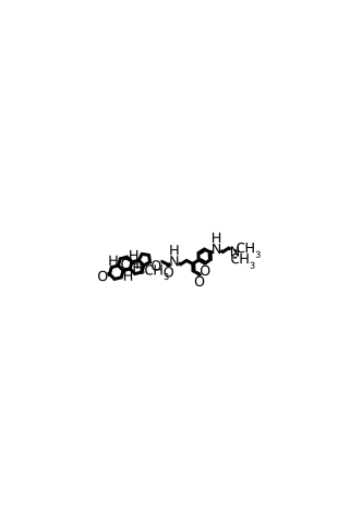 CN(C)CCNc1ccc2c(CCNC(=O)CO[C@H]3CC[C@H]4[C@@H]5CC[C@H]6CC(=O)CC[C@]6(C)[C@H]5CC[C@]34C)cc(=O)oc2c1